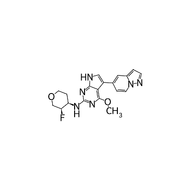 COc1nc(N[C@@H]2CCOC[C@@H]2F)nc2[nH]cc(-c3ccn4nccc4c3)c12